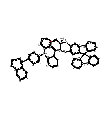 C1=CCC(C2=CC=C[C@@H]3Oc4cc5c(cc4OC23)C2(c3ccccc3-c3ccccc32)c2ccccc2-5)C(N(c2ccccc2)c2ccc(-c3cccc4ccccc34)cc2)=C1